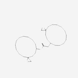 O=C(CC1CCCCCCCCCCC2(CC1)CO2)OC1CCCCCCCCCCC2(CC1)CO2